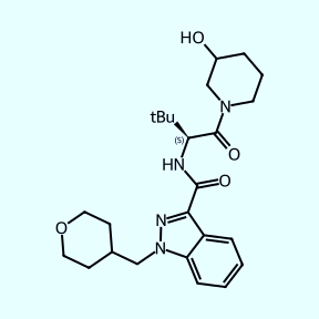 CC(C)(C)[C@H](NC(=O)c1nn(CC2CCOCC2)c2ccccc12)C(=O)N1CCCC(O)C1